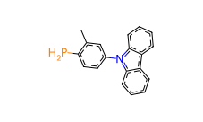 Cc1cc(-n2c3ccccc3c3ccccc32)ccc1P